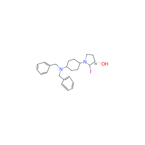 O[C@H]1CCN(C2CCC(N(Cc3ccccc3)Cc3ccccc3)CC2)C1I